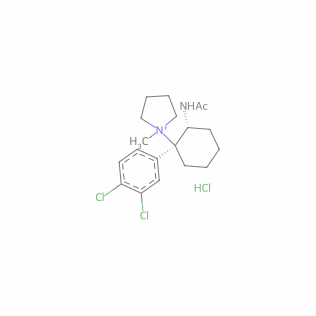 CC(=O)N[C@@H]1CCCC[C@@]1(c1ccc(Cl)c(Cl)c1)[N+]1(C)CCCC1.Cl